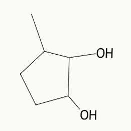 CC1CCC(O)C1O